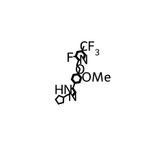 COc1cc(-c2cnc(C3CCCC3)[nH]2)ccc1OCc1ncc(C(F)(F)F)cc1F